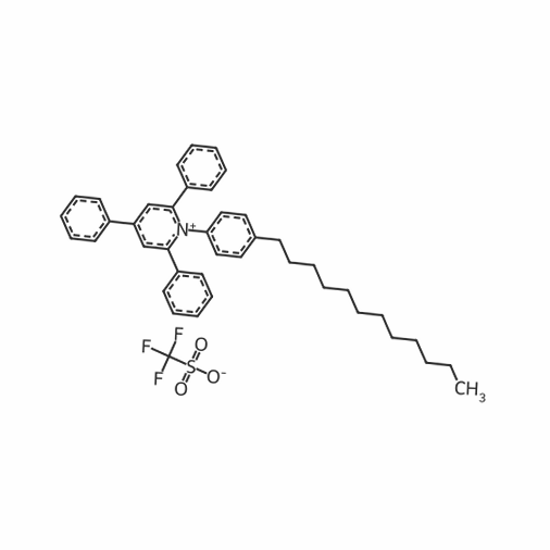 CCCCCCCCCCCCc1ccc(-[n+]2c(-c3ccccc3)cc(-c3ccccc3)cc2-c2ccccc2)cc1.O=S(=O)([O-])C(F)(F)F